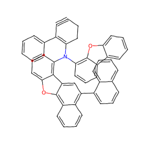 C1#CC(c2ccccc2)=C(N(c2cccc3c2oc2ccccc23)c2cccc3oc4c5ccccc5c(-c5cccc6ccccc56)cc4c23)CC1